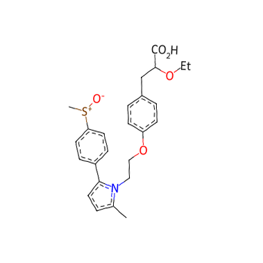 CCOC(Cc1ccc(OCCn2c(C)ccc2-c2ccc([S+](C)[O-])cc2)cc1)C(=O)O